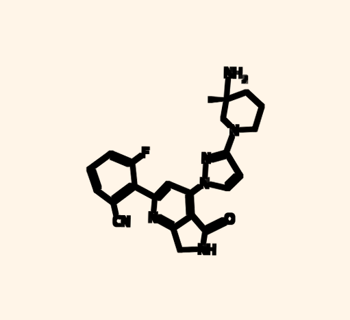 C[C@@]1(N)CCCN(c2ccn(-c3cc(-c4c(F)cccc4C#N)nc4c3C(=O)NC4)n2)C1